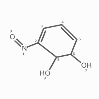 O=NC1=CC=CC(O)C1O